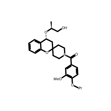 COc1cc(C(=O)N2CCC3(CC2)C[C@@H](O[C@@H](C)CO)c2ccccc2O3)ccc1OC(C)C